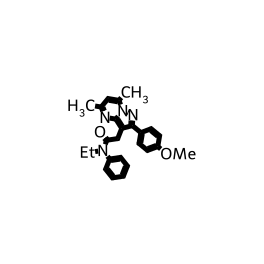 CCN(C(=O)Cc1c(-c2ccc(OC)cc2)nn2c(C)cc(C)nc12)c1ccccc1